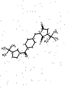 CC(C)(C)C1CCN(C(=O)C2CCC(CN3C(=O)CC(C(C)(C)C)C3=O)CC2)C1